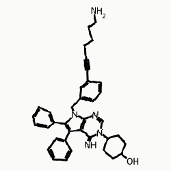 N=c1c2c(-c3ccccc3)c(-c3ccccc3)n(Cc3cccc(C#CCCCCN)c3)c2ncn1C1CCC(O)CC1